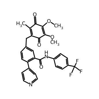 COC1=C(OC)C(=O)C(Cc2ccc(-c3ccncc3)c(C(=O)Nc3ccc(C(F)(F)F)cc3)c2)=C(C)C1=O